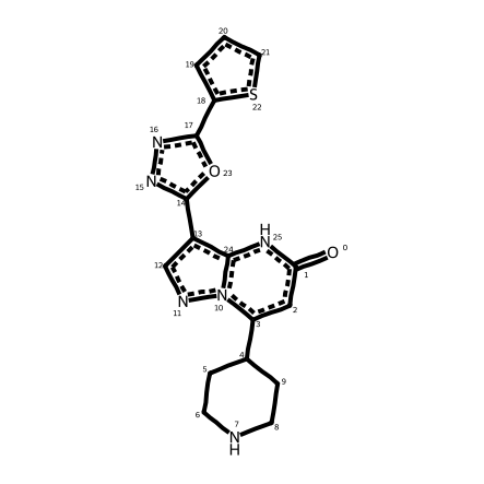 O=c1cc(C2CCNCC2)n2ncc(-c3nnc(-c4cccs4)o3)c2[nH]1